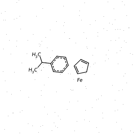 C1=CCC=C1.CC(C)c1ccccc1.[Fe]